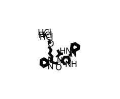 COCCCCn1c(C(=O)N(CC(C)C)[C@@H]2CNC[C@H](c3nc4ccccc4[nH]3)C2)nc2ccccc21.Cl.Cl.Cl